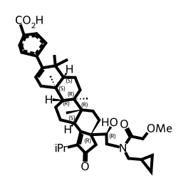 COCC(=O)N(CC1CC1)C[C@H](O)[C@@]12CC[C@]3(C)[C@H](CC[C@@H]4[C@@]5(C)CC=C(c6ccc(C(=O)O)cc6)C(C)(C)[C@H]5CC[C@]43C)C1=C(C(C)C)C(=O)C2